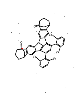 CC(C)c1cccc(C(C)C)c1-c1cc(-c2c(C(C)C)cccc2C(C)C)c2c3cc4c(cc3n3c5cc6c(cc5c1c23)C1CCC(CC1)C6=O)C(=O)C1CCC4CC1